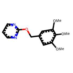 COc1cc(COc2n[c]ccn2)cc(OC)c1OC